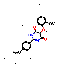 COc1ccc(C2=NC(=O)C(Oc3ccccc3OC)C(=O)N2)cc1